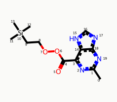 Cc1nc(C(=O)OOCC[Si](C)(C)C)c2[nH]cnc2n1